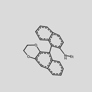 CCNc1ccc2ccccc2c1-c1c2c(cc3ccccc13)OCCO2